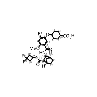 COc1cc(F)c(OC2CCC(C(=O)O)CC2)cc1C(=O)N[C@@H]1[C@H]2CC[C@H](C2)[C@@H]1C(=O)NC1CC(F)(F)C1